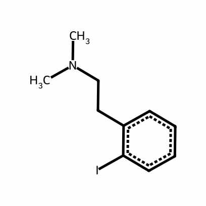 CN(C)CCc1ccccc1I